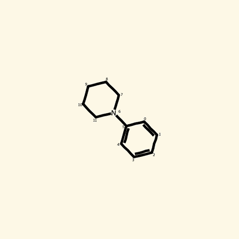 [c]1ccccc1N1CCCCC1